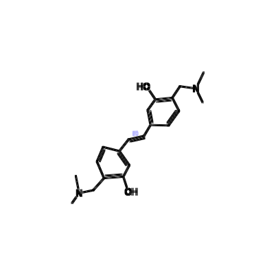 CN(C)Cc1ccc(/C=C/c2ccc(CN(C)C)c(O)c2)cc1O